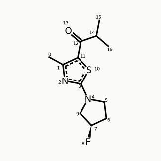 Cc1nc(N2CC[C@@H](F)C2)sc1C(=O)C(C)C